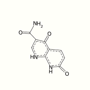 NC(=O)c1c[nH]c2[nH]c(=O)ccc2c1=O